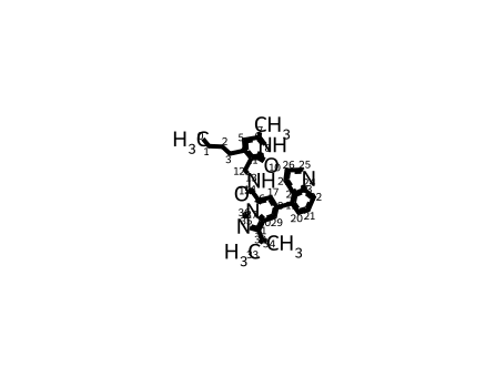 CCCCc1cc(C)[nH]c(=O)c1CNC(=O)c1cc(-c2cccc3ncccc23)cc2c(C(C)C)ncn12